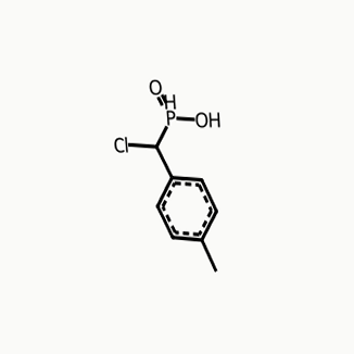 Cc1ccc(C(Cl)[PH](=O)O)cc1